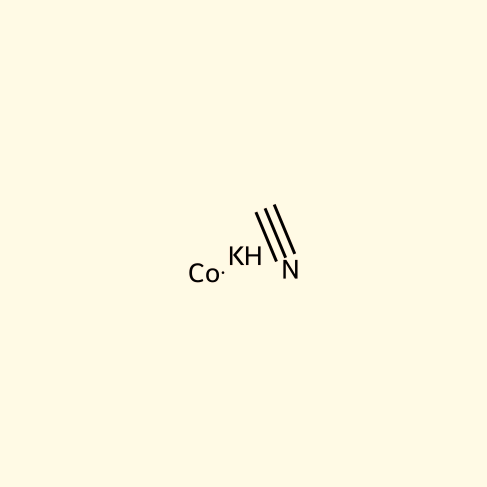 C#N.[Co].[KH]